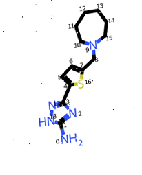 Nc1nc(-c2ccc(CN3CCCCCC3)s2)n[nH]1